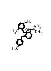 Cc1ccc(C=C2CCCC(CN(C)C)C2(O)Cc2cc(C)ccc2C)cc1